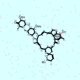 CC[C@@H](C)[C@H]1O[C@]2(C=C[C@@H]1C)C[C@@H]1C[C@@H](C/C=C(\C)[C@@H](O[C@H]3C[C@H](OC)[C@@H](O[C@H]4C[C@H](OC)C(=O)[C@H](C)O4)[C@H](C)O3)[C@@H](C)/C=C/C=C3\CO[C@@H]4[C@H](O)C(C)=C[C@@H](C(=O)O1)[C@]34O)O2